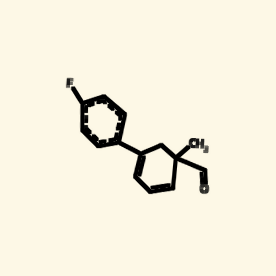 CC1(C=O)C=CC=C(c2ccc(F)cc2)C1